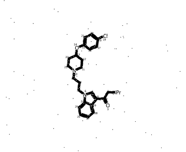 CC(C)CC(=O)c1cn(CCCN2CCC(Oc3ccc(Cl)cc3)CC2)c2ccccc12